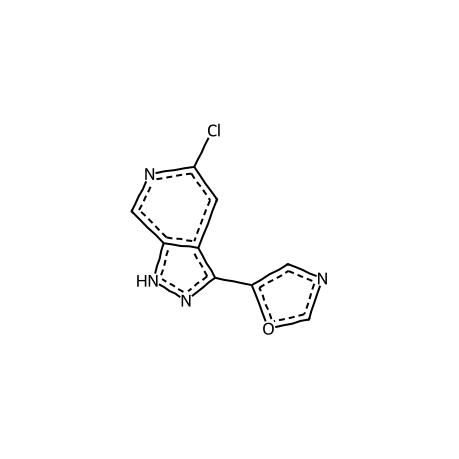 Clc1cc2c(-c3cnco3)n[nH]c2cn1